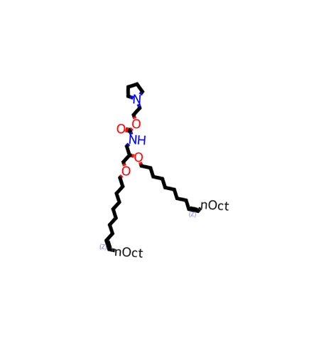 CCCCCCCC/C=C\CCCCCCCCOCC(CNC(=O)OCCN1CCCC1)OCCCCCCCC/C=C\CCCCCCCC